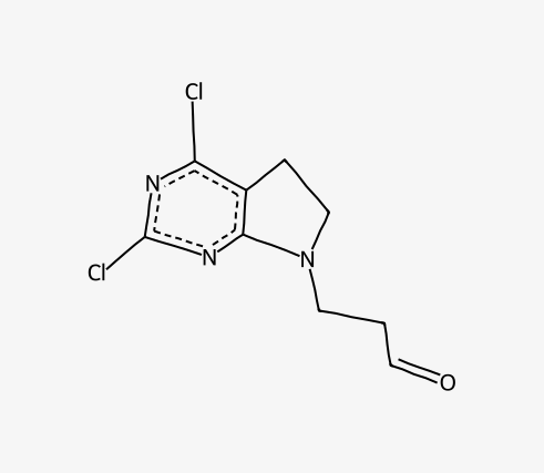 O=CCCN1CCc2c(Cl)nc(Cl)nc21